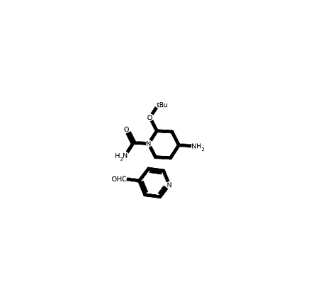 CC(C)(C)OC1CC(N)CCN1C(N)=O.O=Cc1ccncc1